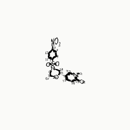 C[C@@H]1CN(S(=O)(=O)c2ccc([N+](=O)[O-])cc2)C[C@H](c2ccc(=O)n(C)c2)O1